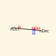 CCCCCCCC/C=C\CCCCCCCC(=O)CCCCCCCCCCCCCCCC(=O)NC(CO)CCCCCCCCCCCCCCCC